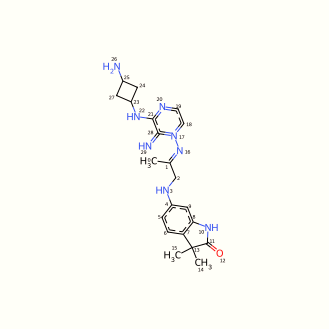 C/C(CNc1ccc2c(c1)NC(=O)C2(C)C)=N\n1ccnc(NC2CC(N)C2)c1=N